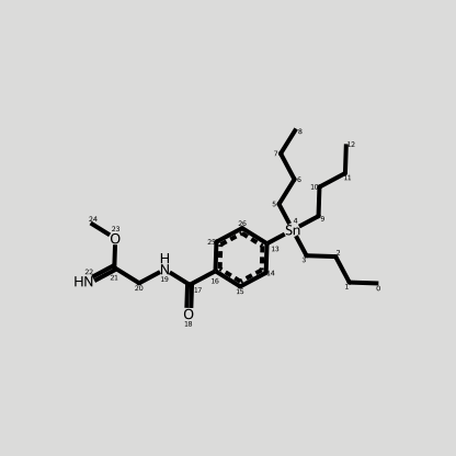 CCC[CH2][Sn]([CH2]CCC)([CH2]CCC)[c]1ccc(C(=O)NCC(=N)OC)cc1